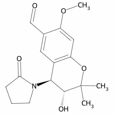 COc1cc2c(cc1C=O)[C@H](N1CCCC1=O)[C@@H](O)C(C)(C)O2